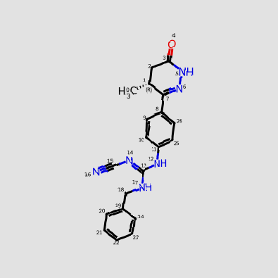 C[C@@H]1CC(=O)NN=C1c1ccc(NC(=NC#N)NCc2ccccc2)cc1